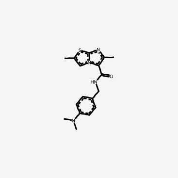 Cc1cn2c(C(=O)NCc3ccc(N(C)C)cc3)c(C)nc2s1